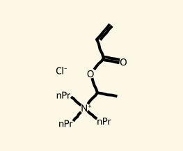 C=CC(=O)OC(C)[N+](CCC)(CCC)CCC.[Cl-]